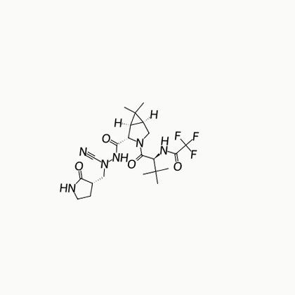 CC(C)(C)[C@H](NC(=O)C(F)(F)F)C(=O)N1C[C@H]2[C@@H]([C@H]1C(=O)NN(C#N)C[C@@H]1CCNC1=O)C2(C)C